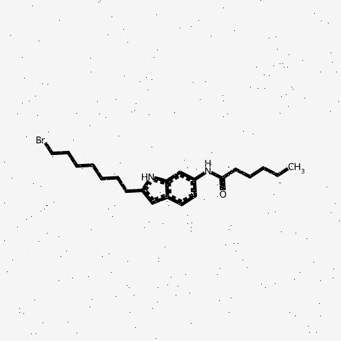 CCCCCC(=O)Nc1ccc2cc(CCCCCCCBr)[nH]c2c1